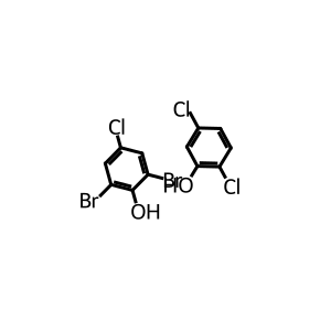 Oc1c(Br)cc(Cl)cc1Br.Oc1cc(Cl)ccc1Cl